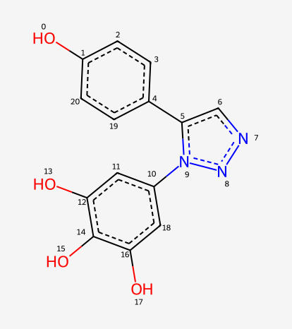 Oc1ccc(-c2cnnn2-c2cc(O)c(O)c(O)c2)cc1